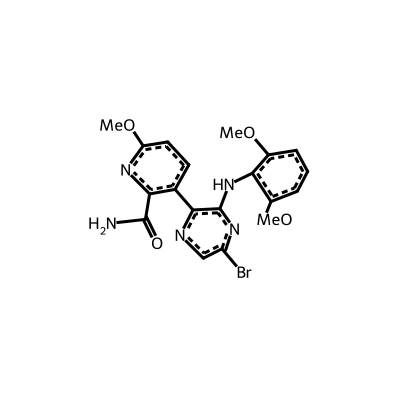 COc1ccc(-c2ncc(Br)nc2Nc2c(OC)cccc2OC)c(C(N)=O)n1